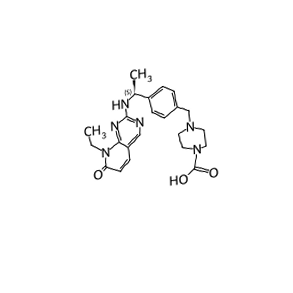 CCn1c(=O)ccc2cnc(N[C@@H](C)c3ccc(CN4CCN(C(=O)O)CC4)cc3)nc21